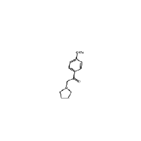 COc1ccc(C(=O)CN2C[CH]CC2)cc1